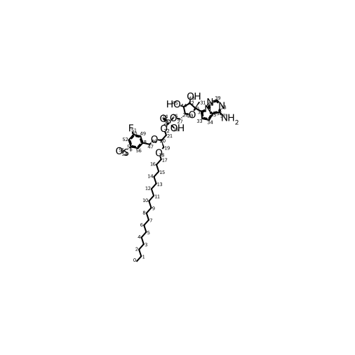 CCCCCCCCCCCCCCCCCCOC[C@H](COP(=O)(O)OC[C@H]1O[C@@](C)(c2ccc3c(N)ncnn23)[C@H](O)[C@@H]1O)OCc1cc(F)cc([S+]=O)c1